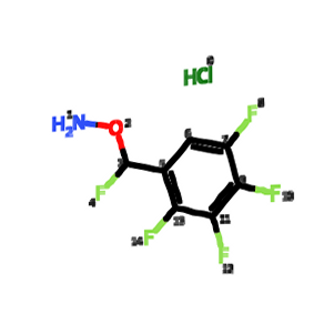 Cl.NOC(F)c1cc(F)c(F)c(F)c1F